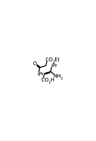 CC(C)C(N)=CC(=O)O.CCOC(=O)CC(=O)C(C)C